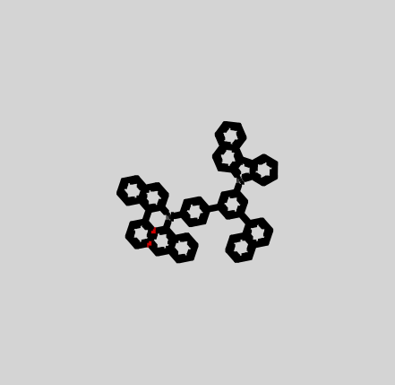 c1ccc(-c2c(N(c3ccc(-c4cc(-c5cccc6ccccc56)cc(-n5c6ccccc6c6c7ccccc7ccc65)c4)cc3)c3cccc4ccccc34)ccc3ccccc23)cc1